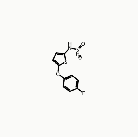 O=[SH](=O)Nc1ccc(Oc2ccc(F)cc2)s1